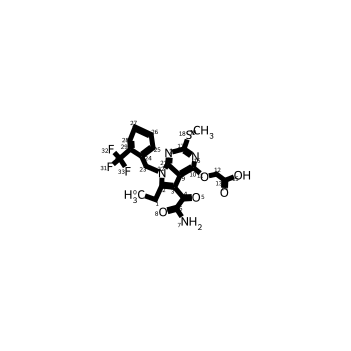 CCc1c(C(=O)C(N)=O)c2c(OCC(=O)O)nc(SC)nc2n1Cc1ccccc1C(F)(F)F